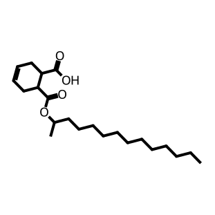 CCCCCCCCCCCCC(C)OC(=O)C1CC=CCC1C(=O)O